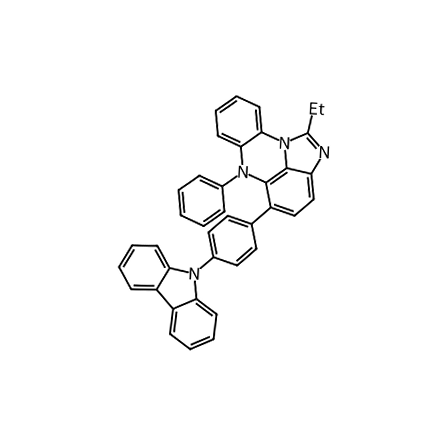 CCc1nc2ccc(-c3ccc(-n4c5ccccc5c5ccccc54)cc3)c3c2n1-c1ccccc1N3c1ccccc1